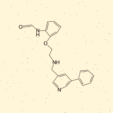 O=CNc1ccccc1OCCNCc1cncc(-c2ccccc2)c1